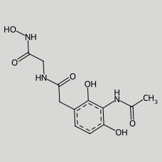 CC(=O)Nc1c(O)ccc(CC(=O)NCC(=O)NO)c1O